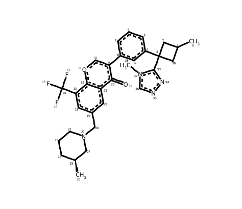 CC1CC(c2cccc(-c3coc4c(C(F)(F)F)cc(CN5CCC[C@H](C)C5)cc4c3=O)c2)(c2nncn2C)C1